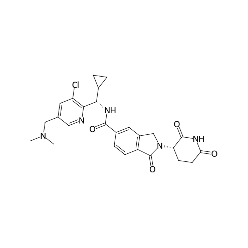 CN(C)Cc1cnc([C@@H](NC(=O)c2ccc3c(c2)CN([C@H]2CCC(=O)NC2=O)C3=O)C2CC2)c(Cl)c1